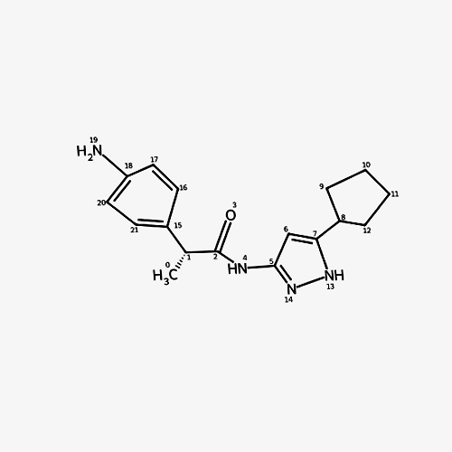 C[C@@H](C(=O)Nc1cc(C2CCCC2)[nH]n1)c1ccc(N)cc1